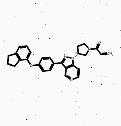 C=CC(=O)N1CC[C@@H](n2nc(-c3ccc(Oc4cccc5c4CCC5)cc3)c3cnccc32)C1